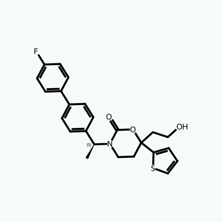 C[C@@H](c1ccc(-c2ccc(F)cc2)cc1)N1CCC(CCO)(c2cccs2)OC1=O